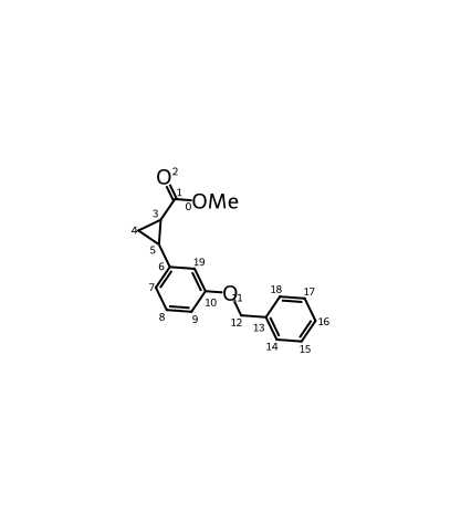 COC(=O)C1CC1c1cccc(OCc2ccccc2)c1